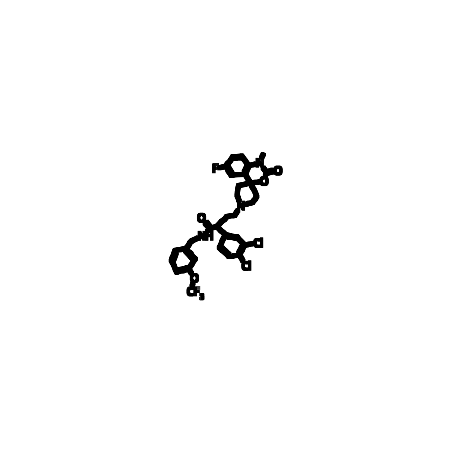 CN1C(=O)OC2(CCN(CCC(C(=O)NCc3cccc(OC(F)(F)F)c3)c3ccc(Cl)c(Cl)c3)CC2)c2cc(F)ccc21